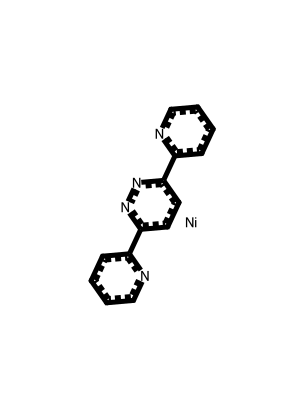 [Ni].c1ccc(-c2ccc(-c3ccccn3)nn2)nc1